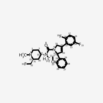 CN1CC[C@H](N(C)C(=O)N2CC(c3cc(F)ccc3F)=C[C@@]2(CO)c2ccccc2)C[C@H]1CF